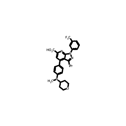 CC(C)c1nn(-c2cccc(C(F)(F)F)c2)c2nc(C(=O)O)cc(-c3ccc(N(C)C4CCOCC4)cc3)c12